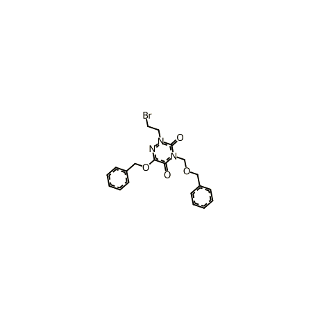 O=c1c(OCc2ccccc2)nn(CCBr)c(=O)n1COCc1ccccc1